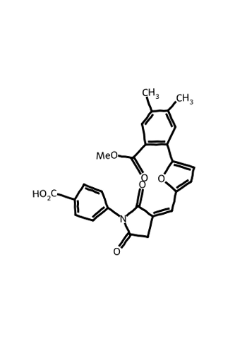 COC(=O)c1cc(C)c(C)cc1-c1ccc(C=C2CC(=O)N(c3ccc(C(=O)O)cc3)C2=O)o1